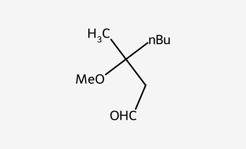 CCCCC(C)(CC=O)OC